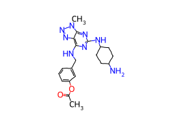 CC(=O)Oc1cccc(CNc2nc(NC3CCC(N)CC3)nc3c2nnn3C)c1